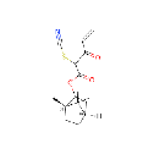 C=CC(=O)C(SC#N)C(=O)OC1C[C@H]2CC[C@@]1(C)C2(C)C